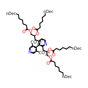 CCCCCCCCCCCCCCCC(=O)OCC(Cc1ccnc(CC(COC(=O)CCCCCCCCCCCCCCC)OC(=O)CCCCCCCCCCCCCCC)c1-c1c(C(=O)O)cncc1C(=O)O)OC(=O)CCCCCCCCCCCCCCC